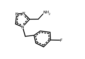 NCc1nncn1Cc1ccc(F)cc1